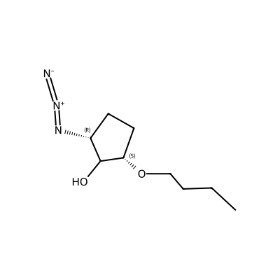 CCCCO[C@H]1CC[C@@H](N=[N+]=[N-])C1O